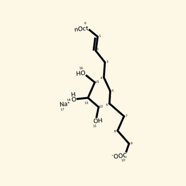 CCCCCCCCC=CCCCCCCCC(=O)[O-].OCC(O)CO.[Na+]